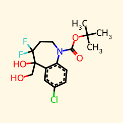 CC(C)(C)OC(=O)N1CCC(F)(F)C(O)(CO)c2cc(Cl)ccc21